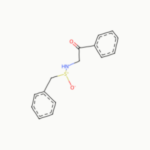 O=C(CN[S+]([O-])Cc1ccccc1)c1ccccc1